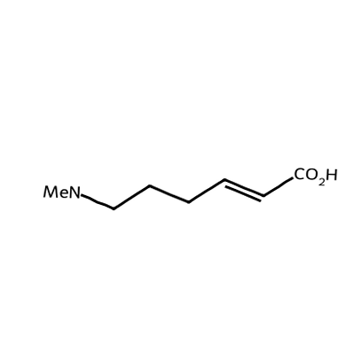 CNCCC/C=C/C(=O)O